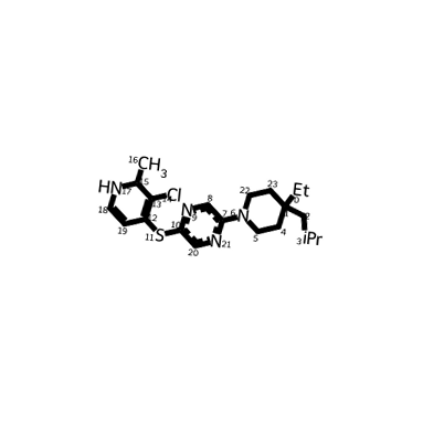 CCC1(CC(C)C)CCN(c2cnc(SC3=C(Cl)C(C)NC=C3)cn2)CC1